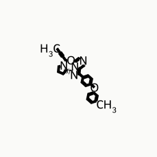 CC#CC(=O)N1CCC[C@H]1c1nc(-c2ccc(Oc3cccc(C)c3)cc2)c2cnccn12